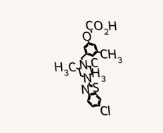 Cc1cc(CN2C(C)CN(c3nc4ccc(Cl)cc4s3)CC2C)cc(OCC(=O)O)c1